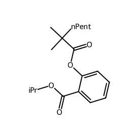 CCCCCC(C)(C)C(=O)Oc1ccccc1C(=O)OC(C)C